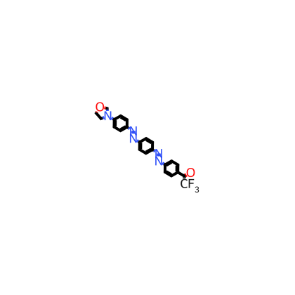 O=C(c1ccc(N=Nc2ccc(N=Nc3ccc(N4CCOC4)cc3)cc2)cc1)C(F)(F)F